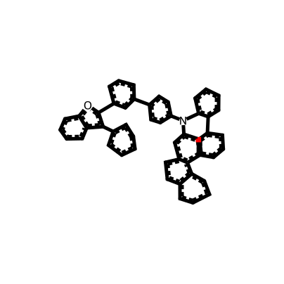 c1ccc(-c2ccccc2N(c2ccc(-c3cccc(-c4oc5ccccc5c4-c4ccccc4)c3)cc2)c2ccc3c(ccc4ccccc43)c2)cc1